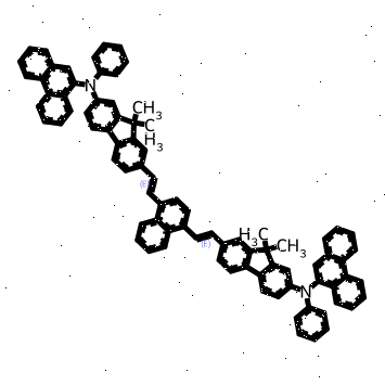 CC1(C)c2cc(/C=C/c3ccc(/C=C/c4ccc5c(c4)C(C)(C)c4cc(N(c6ccccc6)c6cc7ccccc7c7ccccc67)ccc4-5)c4ccccc34)ccc2-c2ccc(N(c3ccccc3)c3cc4ccccc4c4ccccc34)cc21